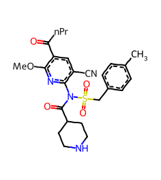 CCCC(=O)c1cc(C#N)c(N(C(=O)C2CCNCC2)S(=O)(=O)Cc2ccc(C)cc2)nc1OC